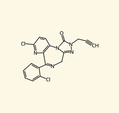 C#CCn1nc2n(c1=O)-c1ccc(Cl)nc1C(c1ccccc1Cl)=NC2